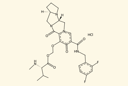 CN[C@H](C(=O)OCOc1c2n(cc(C(=O)NCc3ccc(F)cc3F)c1=O)C[C@@H]1N(C[C@H]3CCCN31)C2=O)C(C)C.Cl